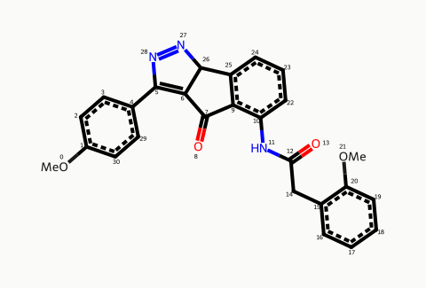 COc1ccc(C2=C3C(=O)c4c(NC(=O)Cc5ccccc5OC)cccc4C3N=N2)cc1